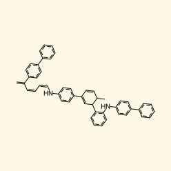 C=C(/C=C\C=C/Nc1ccc(C2=CC(c3ccccc3Nc3ccc(-c4ccccc4)cc3)C(C)C=C2)cc1)c1ccc(-c2ccccc2)cc1